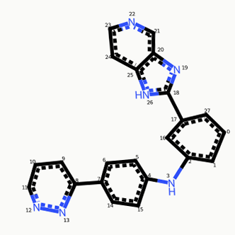 c1cc(Nc2ccc(-c3cccnn3)cc2)cc(-c2nc3cnccc3[nH]2)c1